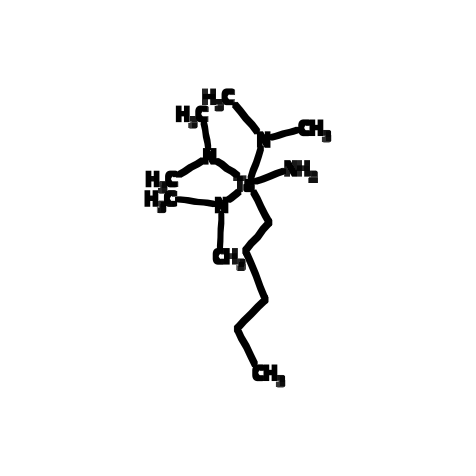 CCCC[CH2][Ta]([NH2])([N](C)C)([N](C)C)[N](C)C